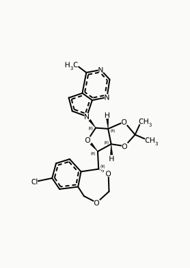 Cc1ncnc2c1ccn2[C@@H]1O[C@H]([C@@H]2OCOCc3cc(Cl)ccc32)[C@H]2OC(C)(C)O[C@H]21